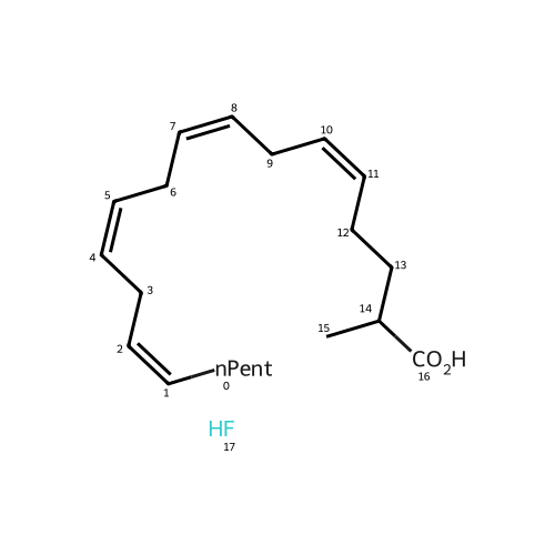 CCCCC/C=C\C/C=C\C/C=C\C/C=C\CCC(C)C(=O)O.F